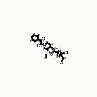 CCOC1CN(C(=O)C(=O)c2ccccc2)CCC1NC(=O)c1nc(Cl)c(CC)[nH]1